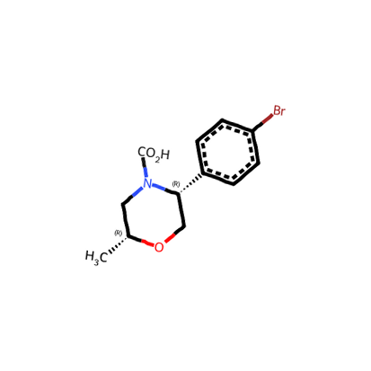 C[C@@H]1CN(C(=O)O)[C@H](c2ccc(Br)cc2)CO1